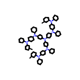 Cc1cccc(N(c2ccccc2)c2ccc(N(c3ccccc3)c3ccc(N(c4ccc(N(c5ccccc5)c5ccc(N(c6ccccc6)c6cccc(C)c6)cc5)cc4)c4ccc(N(c5ccccc5)c5ccc(N(c6ccccc6)c6cccc(C)c6)cc5)cc4)cc3)cc2)c1